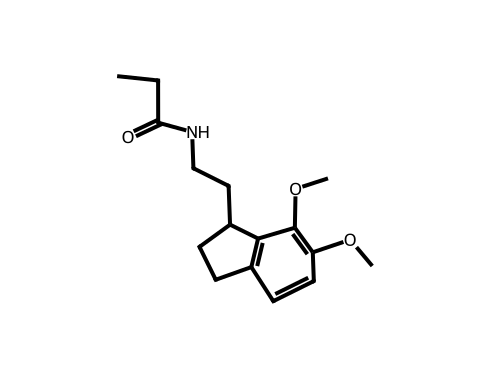 CCC(=O)NCCC1CCc2ccc(OC)c(OC)c21